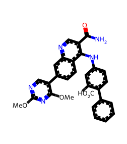 COc1ncc(-c2ccc3c(Nc4ccc(-c5ccccc5)c(C(=O)O)c4)c(C(N)=O)cnc3c2)c(OC)n1